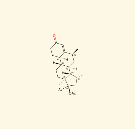 CC(=O)O[C@]1(C(C)=O)C[C@@H](C)[C@H]2[C@@H]3C[C@H](C)C4=CC(=O)CC[C@@H]4[C@H]3CC[C@@]21C